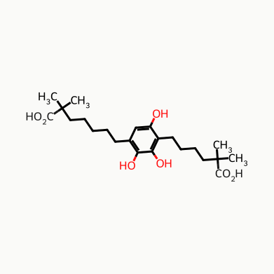 CC(C)(CCCCCc1cc(O)c(CCCCC(C)(C)C(=O)O)c(O)c1O)C(=O)O